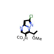 CO[C@@H](C)c1c(C(=O)O)cnc2cc(Cl)nn12